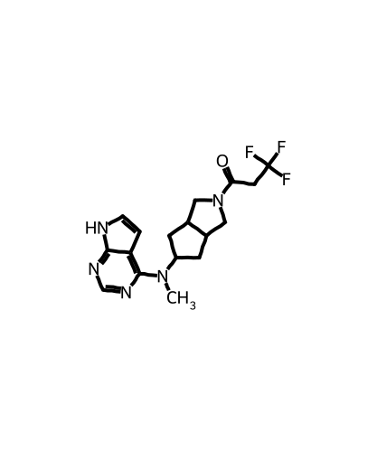 CN(c1ncnc2[nH]ccc12)C1CC2CN(C(=O)CC(F)(F)F)CC2C1